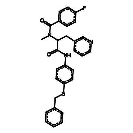 CN(C(=O)c1ccc(F)cc1)C(Cc1cccnc1)C(=O)Nc1ccc(SCc2ccccc2)cc1